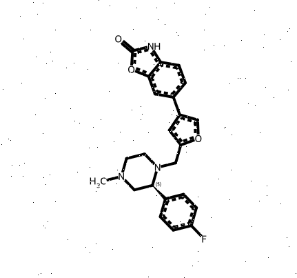 CN1CCN(Cc2cc(-c3ccc4[nH]c(=O)oc4c3)co2)[C@@H](c2ccc(F)cc2)C1